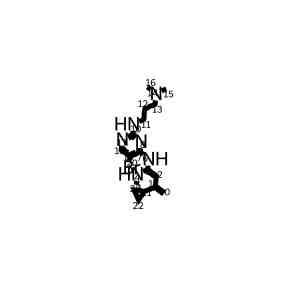 C=C(/C=C(\NC)Nc1nc(NCCCN(C)C)ncc1Br)C1CC1